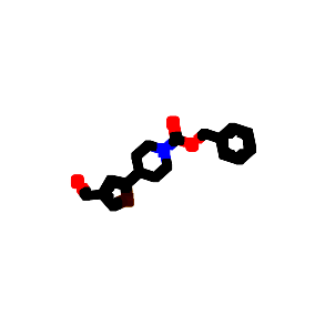 O=Cc1csc(C2CCN(C(=O)OCc3ccccc3)CC2)c1